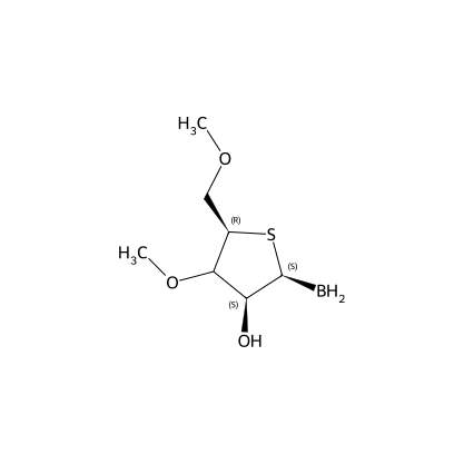 B[C@@H]1S[C@H](COC)C(OC)[C@@H]1O